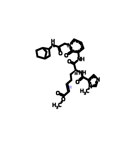 COC(=O)/C=C/CC[C@H](NC(=O)c1cncn1C)C(=O)Nc1cccn(CC(=O)NC2CC3CCC2C3)c1=O